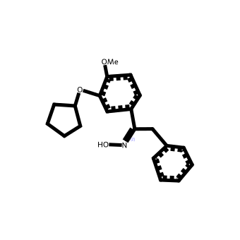 COc1ccc(/C(Cc2ccccc2)=N\O)cc1OC1CCCC1